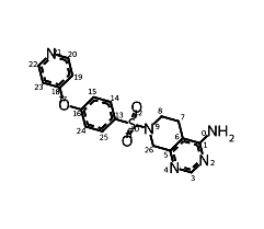 Nc1ncnc2c1CCN(S(=O)(=O)c1ccc(Oc3ccncc3)cc1)C2